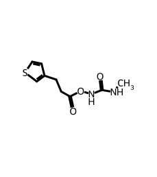 CNC(=O)NOC(=O)CCc1ccsc1